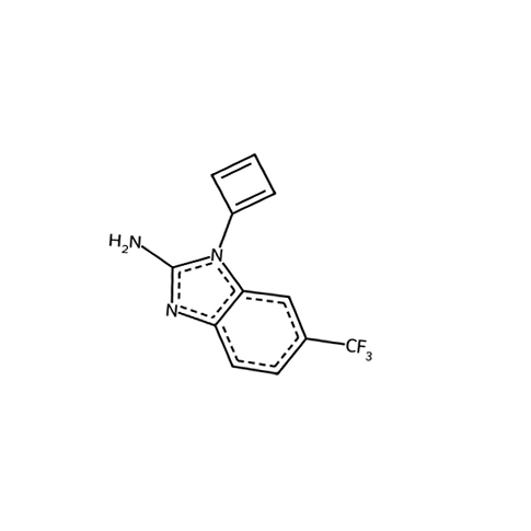 Nc1nc2ccc(C(F)(F)F)cc2n1C1=CC=C1